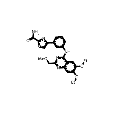 CCOc1cc2nc(COC)nc(Nc3cccc(-c4csc(C(N)=O)n4)c3)c2cc1OCC